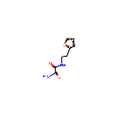 NC(=O)C(=O)NCCc1cccs1